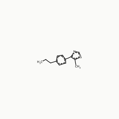 CCCc1ccc(-c2n[c]sc2C)cc1